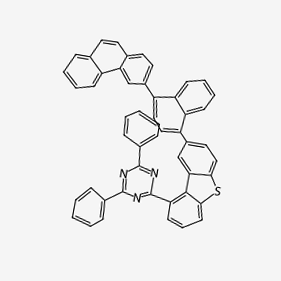 c1ccc(-c2nc(-c3ccccc3)nc(-c3cccc4sc5ccc(-c6ccc(-c7ccc8ccc9ccccc9c8c7)c7ccccc67)cc5c34)n2)cc1